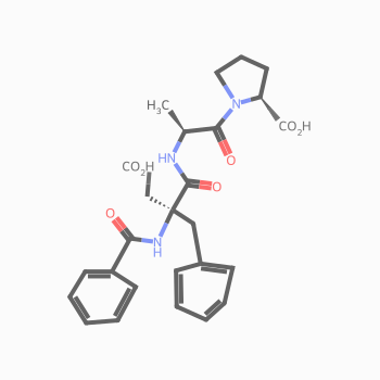 C[C@H](NC(=O)[C@@](CC(=O)O)(Cc1ccccc1)NC(=O)c1ccccc1)C(=O)N1CCC[C@H]1C(=O)O